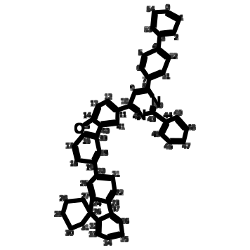 c1ccc(-c2ccc(-c3cc(-c4ccc5oc6ccc(-c7ccc8c(c7)C7(CCCCC7)c7ccccc7-8)cc6c5c4)nc(-c4ccccc4)n3)cc2)cc1